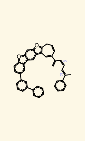 C=C(/C=C\C=C(/C)c1ccccc1)C1=Cc2c(oc3cc4oc5ccc(-c6cccc(-c7ccccc7)c6)cc5c4cc23)CC=C1